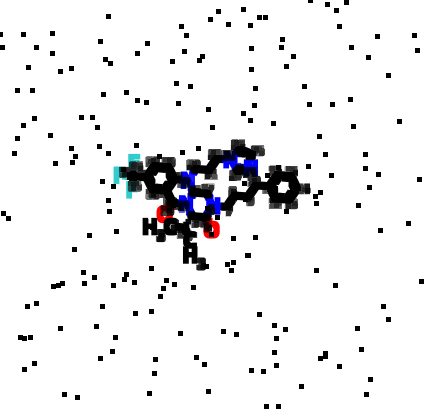 CC(C)[C@H]1C(=O)N(CCCCc2ccccc2)CC2N(CCCn3ccnc3)c3ccc(C(F)(F)F)cc3C(=O)N21